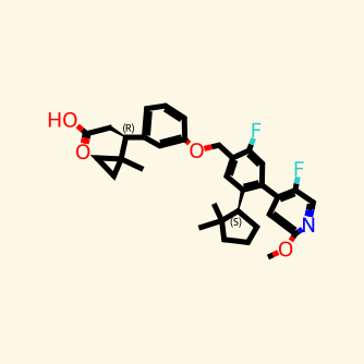 COc1cc(-c2cc(F)c(COc3cccc([C@H](CC(=O)O)C4(C)CC4)c3)cc2[C@H]2CCCC2(C)C)c(F)cn1